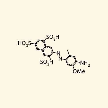 COc1cc(N=Nc2cc3c(S(=O)(=O)O)cc(S(=O)(=O)O)cc3cc2S(=O)(=O)O)c(C)cc1N